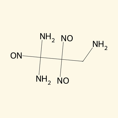 NCC(N=O)(N=O)C(N)(N)N=O